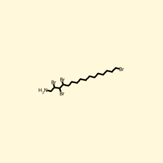 NCC(Br)C(Br)C(Br)CCCCCCCCCCCCBr